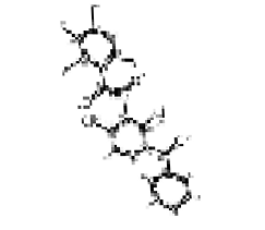 Cc1cc(C)c(C(=O)[PH](=O)c2c(Cl)ccc(C(=O)c3ccccc3)c2Cl)c(C)c1C